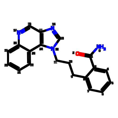 NC(=O)c1ccccc1CCCn1cnc2cnc3ccccc3c21